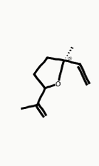 C=C[C@]1(C)CCC(C(=C)C)O1